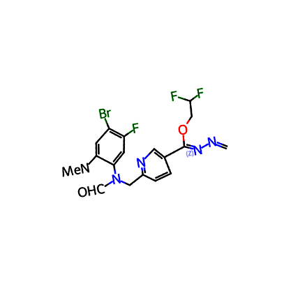 C=N/N=C(\OCC(F)F)c1ccc(CN(C=O)c2cc(F)c(Br)cc2NC)nc1